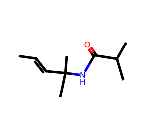 C/C=C/C(C)(C)NC(=O)C(C)C